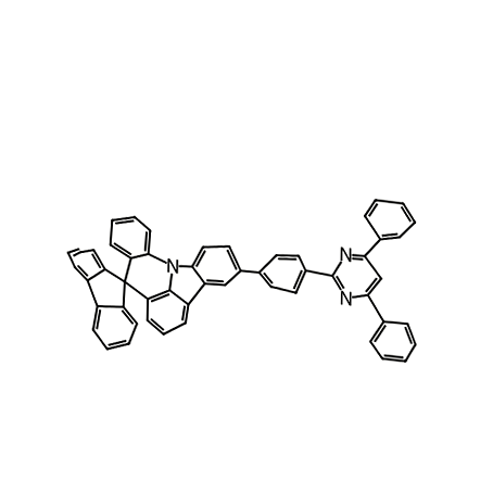 c1ccc(-c2cc(-c3ccccc3)nc(-c3ccc(-c4ccc5c(c4)c4cccc6c4n5-c4ccccc4C64c5ccccc5-c5ccccc54)cc3)n2)cc1